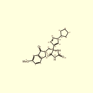 COc1ccc2c(c1)C(=O)N(C[C@@]1(c3cn(C4CCCC4)nn3)NC(=O)NC1=O)C2